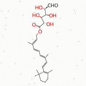 CC(C=CC1=C(C)CCCC1(C)C)=CC=CC(C)=CCOC(=O)[C@@H](O)[C@@H](O)[C@H](O)[C@@H](O)C=O